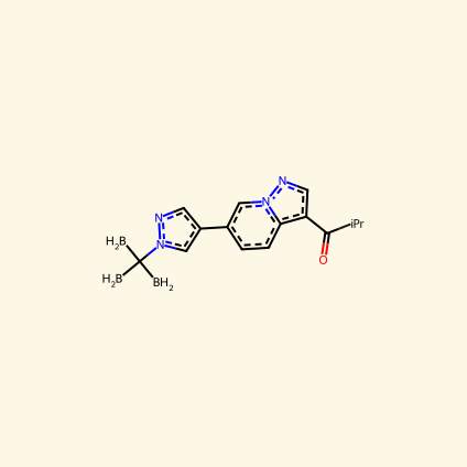 BC(B)(B)n1cc(-c2ccc3c(C(=O)C(C)C)cnn3c2)cn1